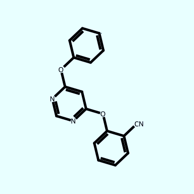 N#Cc1ccccc1Oc1cc(Oc2cc[c]cc2)ncn1